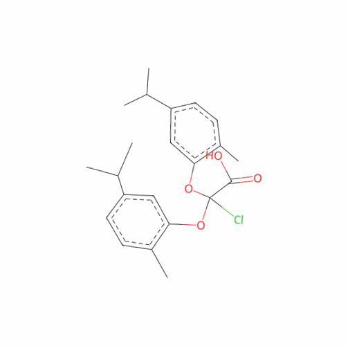 Cc1ccc(C(C)C)cc1OC(Cl)(Oc1cc(C(C)C)ccc1C)C(=O)O